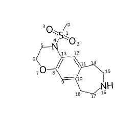 CS(=O)(=O)N1CCOc2cc3c(cc21)CCNCC3